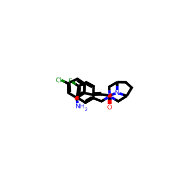 Nc1cc(Cl)ccc1C=CC(=O)N1C2CCC1CN(Cc1ccc(F)cc1)C2